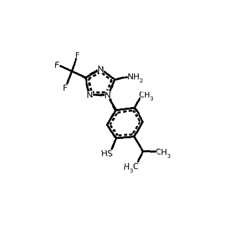 Cc1cc(C(C)C)c(S)cc1-n1nc(C(F)(F)F)nc1N